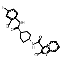 O=C(N[C@H]1CC[C@H](C(=O)Nc2ccc(F)cc2Cl)CC1)c1c(Cl)nc2ccccn12